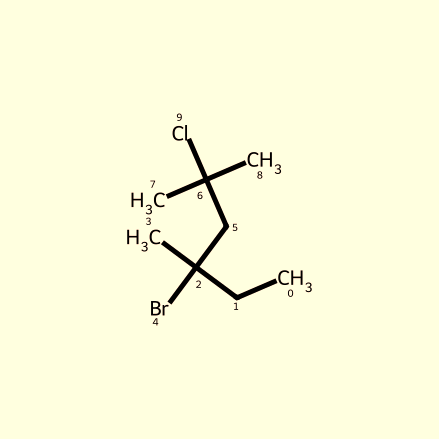 CCC(C)(Br)CC(C)(C)Cl